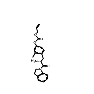 C=CCOC(=O)Oc1ccc(C[C@@H](N)C(=O)N2CCc3ccccc32)c(C)c1